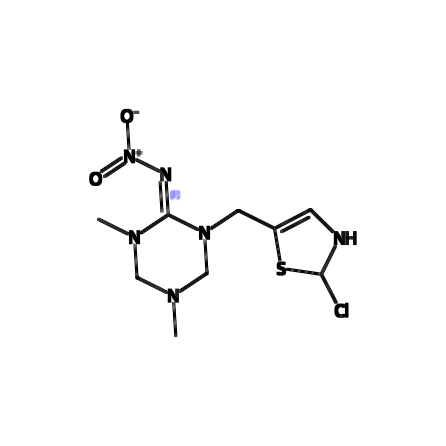 CN1CN(C)/C(=N\[N+](=O)[O-])N(CC2=CNC(Cl)S2)C1